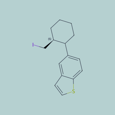 IC[C@H]1CCCCC1c1ccc2sccc2c1